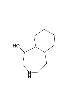 OC1CNCCC2CCCCC12